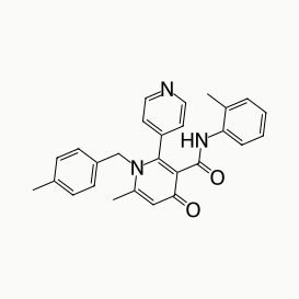 Cc1ccc(Cn2c(C)cc(=O)c(C(=O)Nc3ccccc3C)c2-c2ccncc2)cc1